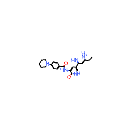 CC/C(N)=C/C(=N)c1c[nH]c(=O)c(NC(=O)c2ccc(N3CCCCC3)cc2)c1